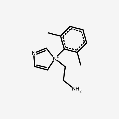 Cc1cccc(C)c1[N+]1(CCN)C=CN=C1